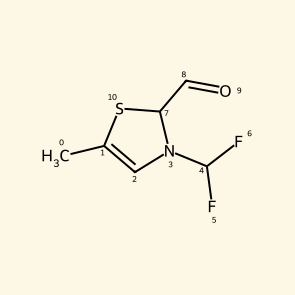 CC1=CN(C(F)F)C(C=O)S1